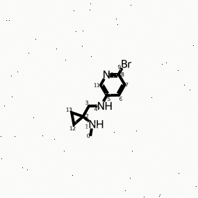 CNC1(CNc2ccc(Br)nc2)CC1